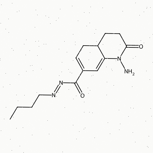 CCCCN=NC(=O)C1=CCC2CCC(=O)N(N)C2=C1